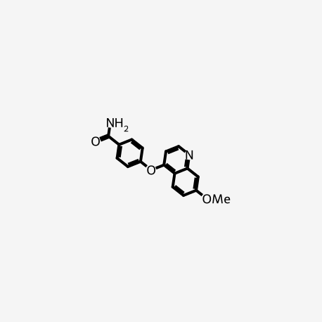 COc1ccc2c(Oc3ccc(C(N)=O)cc3)ccnc2c1